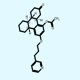 CC(=O)Oc1cc(OCCCc2cccnc2)cc2c1[C@@H]1CC(=O)CC[C@H]1[C@@H]1CCCC[C@@H]21